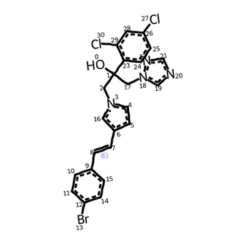 OC(Cn1ccc(/C=C/c2ccc(Br)cc2)c1)(Cn1cncn1)c1ccc(Cl)cc1Cl